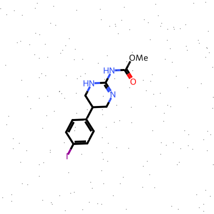 COC(=O)NC1=NCC(c2ccc(I)cc2)CN1